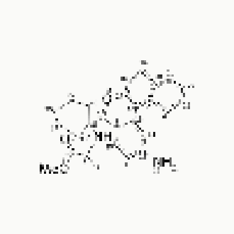 COC(=O)C(C)NC1(C(=O)c2ccc(N)cc2-c2cccc3ccccc23)CCCCC1